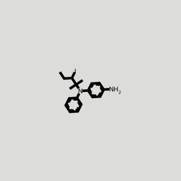 CCC(I)C(C)(C)N(c1ccccc1)c1ccc(N)cc1